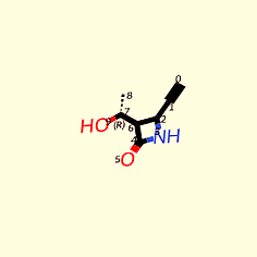 C#CC1NC(=O)C1[C@@H](C)O